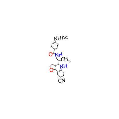 CC(=O)Nc1ccc(C(=O)NCC(C)C2Nc3ccc(C#N)cc3C3OCCC32)cc1